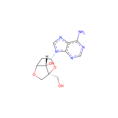 Nc1ncnc2c1ncn2[C@H]1CC2OC[C@](CO)(O1)[C@H]2O